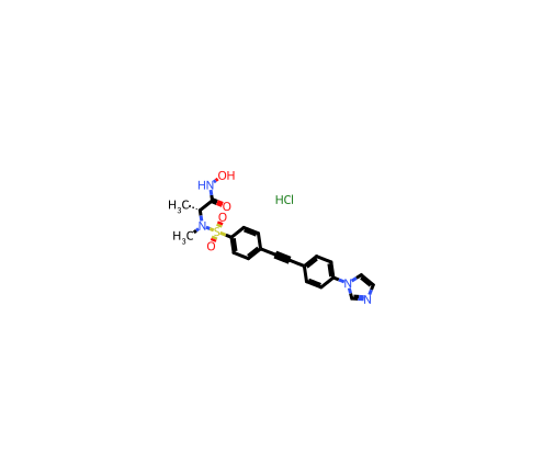 C[C@H](C(=O)NO)N(C)S(=O)(=O)c1ccc(C#Cc2ccc(-n3ccnc3)cc2)cc1.Cl